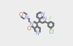 O=c1c2cnccc2c(-c2cc(-c3cc(Cl)ccc3F)nc3ncccc23)cn1CCN1CCOCC1